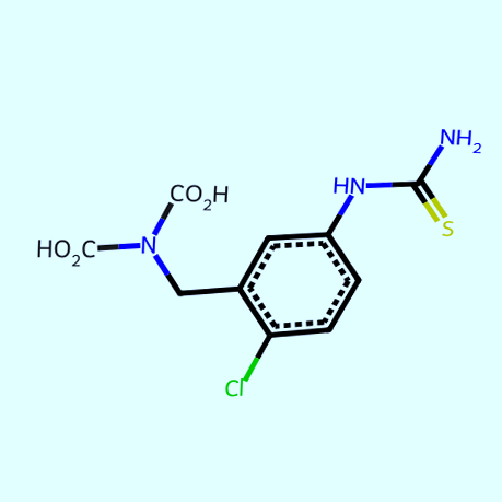 NC(=S)Nc1ccc(Cl)c(CN(C(=O)O)C(=O)O)c1